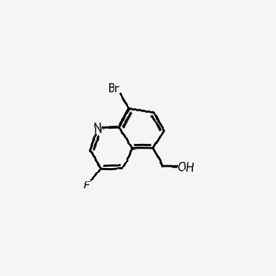 OCc1ccc(Br)c2ncc(F)cc12